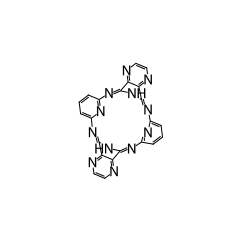 c1cc2nc(c1)nc1[nH]c(nc3cccc(n3)nc3[nH]c(n2)c2nccnc32)c2nccnc12